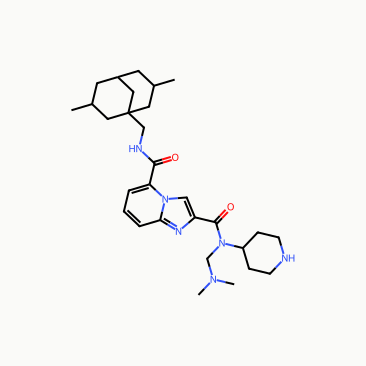 CC1CC2CC(C)CC(CNC(=O)c3cccc4nc(C(=O)N(CN(C)C)C5CCNCC5)cn34)(C1)C2